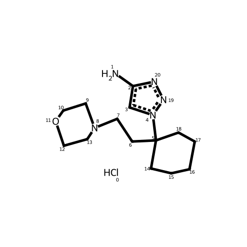 Cl.Nc1cn(C2(CCN3CCOCC3)CCCCC2)nn1